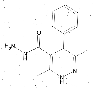 CC1=NNC(C)=C(C(=O)NN)C1c1ccccc1